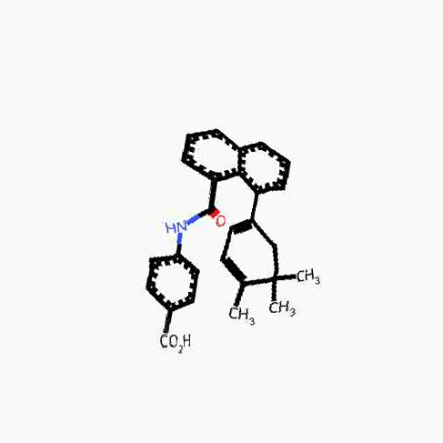 CC1=CC=C(c2cccc3cccc(C(=O)Nc4ccc(C(=O)O)cc4)c23)CC1(C)C